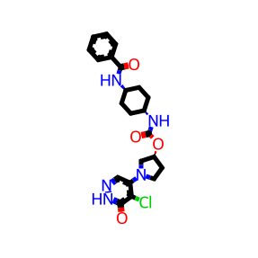 O=C(N[C@H]1CC[C@H](NC(=O)c2ccccc2)CC1)O[C@@H]1CCN(c2cn[nH]c(=O)c2Cl)C1